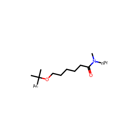 CCCN(C)C(=O)CCCCCOC(C)(C)C(C)=O